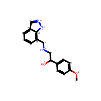 COc1ccc(C(O)CNCc2cccc3cn[nH]c23)cc1